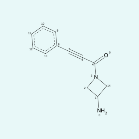 NC1CN(C(=O)C#Cc2ccccc2)C1